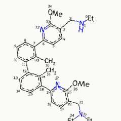 CCNCc1ccc(-c2cccc(-c3cccc(-c4ccc(CN(CC)CC)c(OC)n4)c3C)c2C)nc1OC